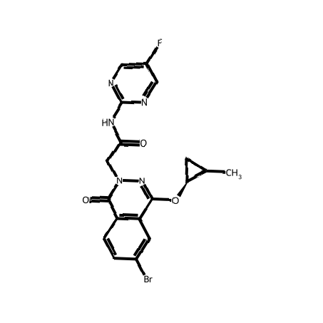 CC1C[C@@H]1Oc1nn(CC(=O)Nc2ncc(F)cn2)c(=O)c2ccc(Br)cc12